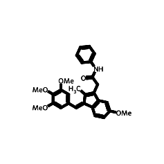 COc1ccc2c(c1)C(CC(=O)Nc1ccccc1)=C(C)C2=Cc1cc(OC)c(OC)c(OC)c1